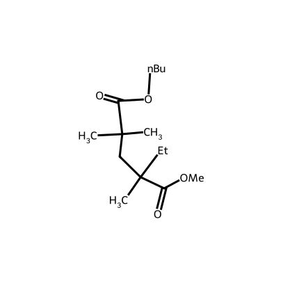 CCCCOC(=O)C(C)(C)CC(C)(CC)C(=O)OC